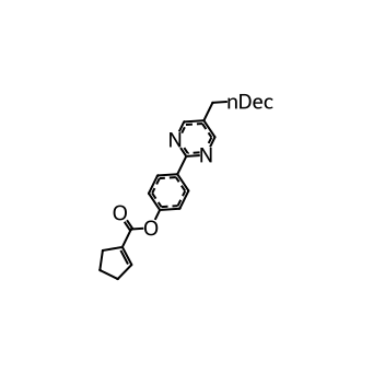 CCCCCCCCCCCc1cnc(-c2ccc(OC(=O)C3=CCCC3)cc2)nc1